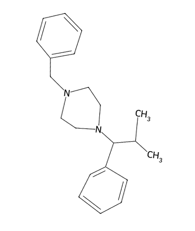 CC(C)C(c1ccccc1)N1CCN(Cc2ccccc2)CC1